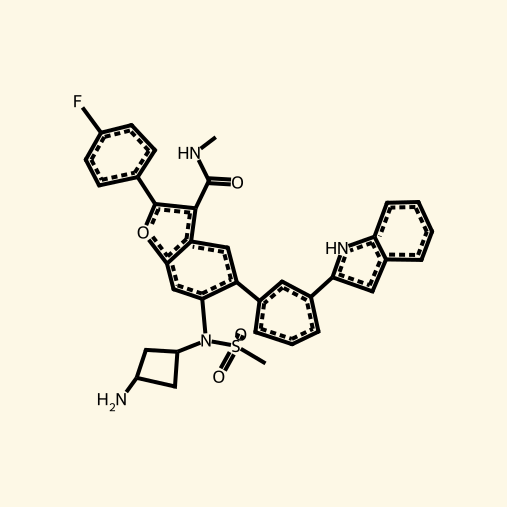 CNC(=O)c1c(-c2ccc(F)cc2)oc2cc(N(C3CC(N)C3)S(C)(=O)=O)c(-c3cccc(-c4cc5ccccc5[nH]4)c3)cc12